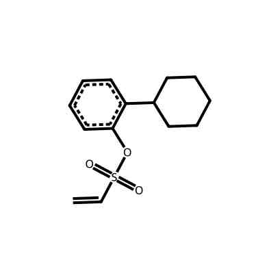 C=CS(=O)(=O)Oc1ccccc1C1CCCCC1